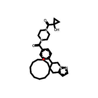 O=C(c1ccc(C2Cn3nccc3CC23CCCCCCCCCC3)cc1)N1CCN(C(=O)C2(O)CC2)CC1